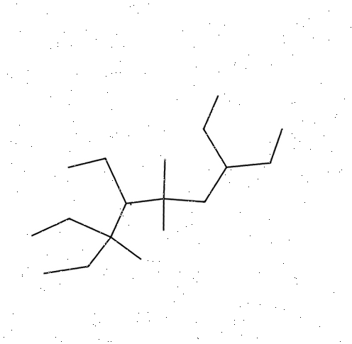 CC[C](C(C)(C)CC(CC)CC)C(C)(CC)CC